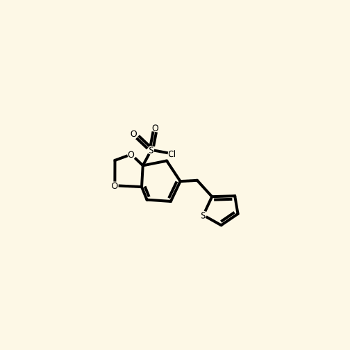 O=S(=O)(Cl)C12CC(Cc3cccs3)=CC=C1OCO2